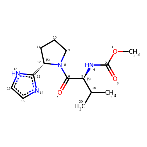 COC(=O)N[C@H](C(=O)N1CCC[C@H]1c1ncc[nH]1)C(C)C